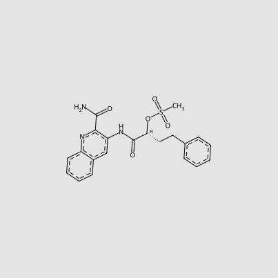 CS(=O)(=O)O[C@H](CCc1ccccc1)C(=O)Nc1cc2ccccc2nc1C(N)=O